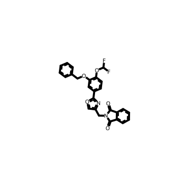 O=C1c2ccccc2C(=O)N1Cc1coc(-c2ccc(OC(F)F)c(OCc3ccccc3)c2)n1